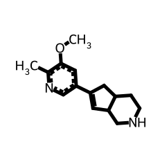 COc1cc(C2=CC3CNCCC3C2)cnc1C